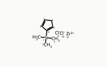 C[Si](C)(C)C1=CCC=C1.[Cl-].[Cl-].[Zr+2]